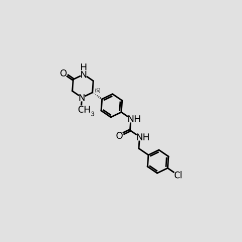 CN1CC(=O)NC[C@@H]1c1ccc(NC(=O)NCc2ccc(Cl)cc2)cc1